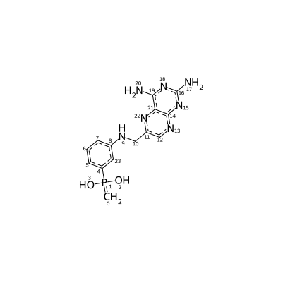 C=P(O)(O)c1cccc(NCc2cnc3nc(N)nc(N)c3n2)c1